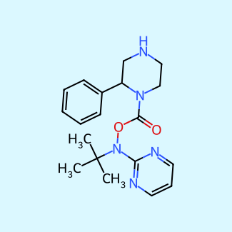 CC(C)(C)N(OC(=O)N1CCNCC1c1ccccc1)c1ncccn1